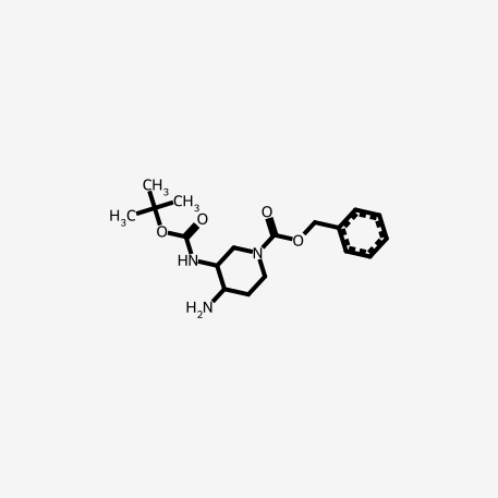 CC(C)(C)OC(=O)NC1CN(C(=O)OCc2ccccc2)CCC1N